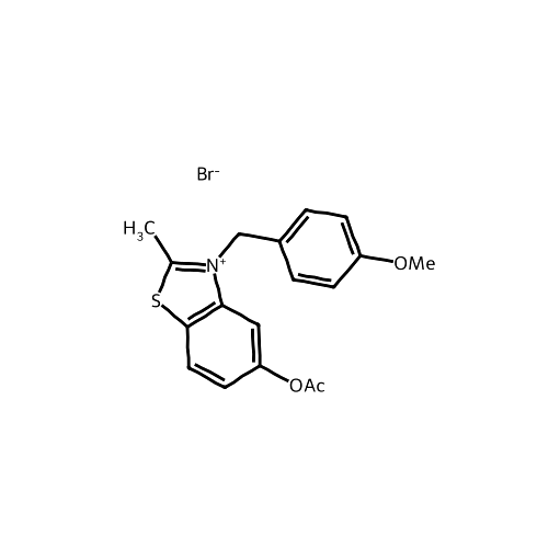 COc1ccc(C[n+]2c(C)sc3ccc(OC(C)=O)cc32)cc1.[Br-]